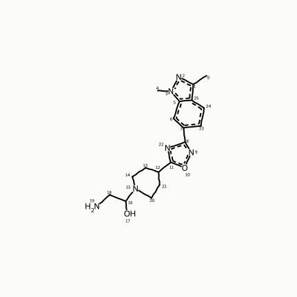 Cc1nn(C)c2cc(-c3noc(C4CCN(C(O)CN)CC4)n3)ccc12